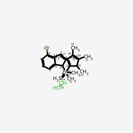 CC1=Cc2c(Br)cccc2[CH]1[Zr]([CH3])([CH3])(=[SiH2])[C]1=C(C)C(C)=C(C)C1C.Cl.Cl